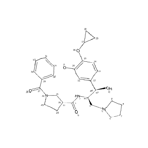 O=C(N[C@H](CN1CCCC1)[C@H](O)c1ccc(OC2CC2)c(Cl)c1)[C@@H]1CCN(C(=O)c2ccccc2)C1